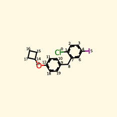 Clc1ccc(I)cc1Cc1ccc(OC2CCC2)cc1